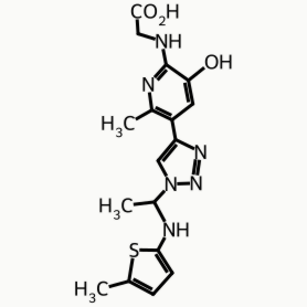 Cc1ccc(NC(C)n2cc(-c3cc(O)c(NCC(=O)O)nc3C)nn2)s1